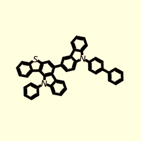 c1ccc(-c2ccc(-n3c4ccccc4c4cc(-c5cc6sc7ccccc7c6c6c5c5ccccc5n6-c5ccccc5)ccc43)cc2)cc1